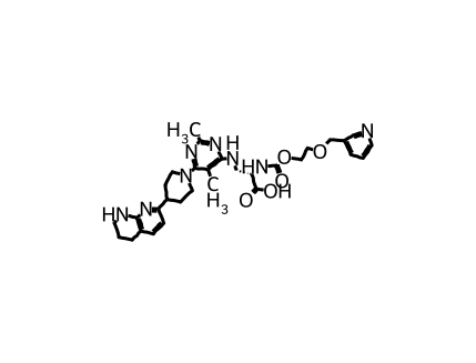 Cc1nc(NC[C@H](NC(=O)OCCOCc2cccnc2)C(=O)O)c(C)c(N2CCC(c3ccc4c(n3)NCCC4)CC2)n1